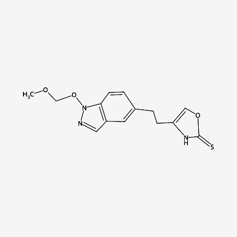 COCOn1ncc2cc(CCc3coc(=S)[nH]3)ccc21